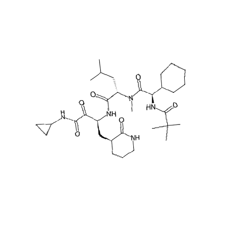 CC(C)C[C@@H](C(=O)N[C@@H](C[C@@H]1CCCNC1=O)C(=O)C(=O)NC1CC1)N(C)C(=O)[C@H](NC(=O)C(C)(C)C)C1CCCCC1